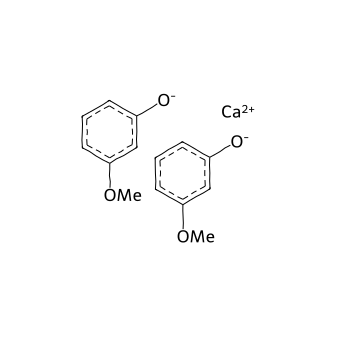 COc1cccc([O-])c1.COc1cccc([O-])c1.[Ca+2]